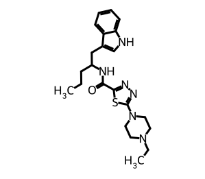 CCCC(Cc1c[nH]c2ccccc12)NC(=O)c1nnc(N2CCN(CC)CC2)s1